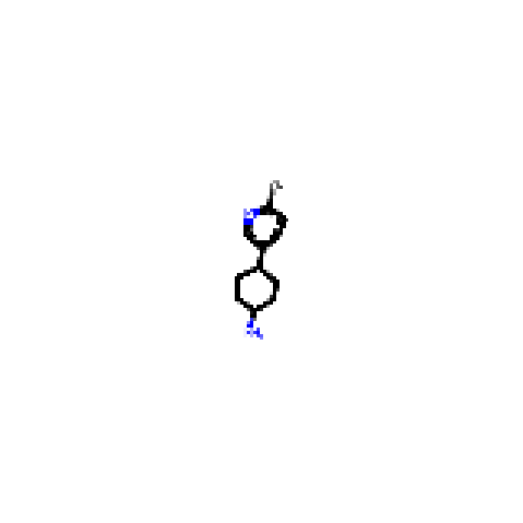 N#Cc1ccc(C2CCC(N)CC2)cn1